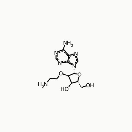 NCCO[C@@H]1[C@H](O)[C@@H](CO)O[C@H]1n1cnc2c(N)ncnc21